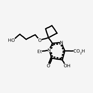 CCn1c(C2(OCCCO)CCC2)nc(C(=O)O)c(O)c1=O